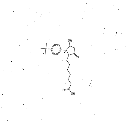 CC(C)(C)c1ccc(C2C(O)CC(=O)C2CCCCCCC(=O)O)cc1